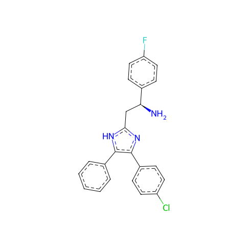 N[C@@H](Cc1nc(-c2ccc(Cl)cc2)c(-c2ccccc2)[nH]1)c1ccc(F)cc1